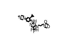 CN1CCN(c2ccc(Nc3ncc(C(F)(F)F)c(NCCCN4CCOCC4=O)n3)c(C3CC3)c2)CC1